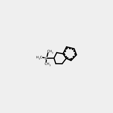 C[Si](C)(C)C1CCc2ccccc2C1